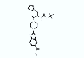 COC(=O)c1ccc2nc(N3CCN(C(=O)C(Cc4cccs4)NC(=O)OC(C)(C)C)CC3)sc2c1